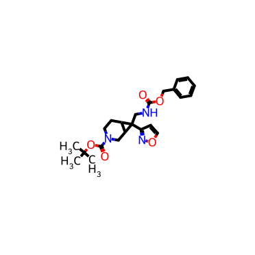 CC(C)(C)OC(=O)N1CCC2C(C1)C2(CNC(=O)OCc1ccccc1)c1ccon1